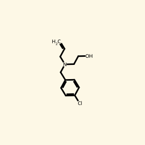 C=CCN(CCO)Cc1ccc(Cl)cc1